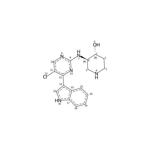 O[C@@H]1CCNC[C@H]1Nc1ncc(Cl)c(-c2c[nH]c3ccccc23)n1